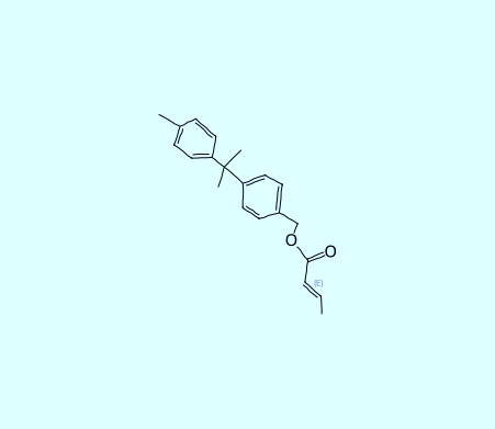 C/C=C/C(=O)OCc1ccc(C(C)(C)c2ccc(C)cc2)cc1